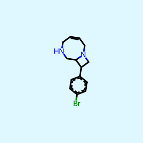 Brc1ccc(C2CN3CC=CCNCC23)cc1